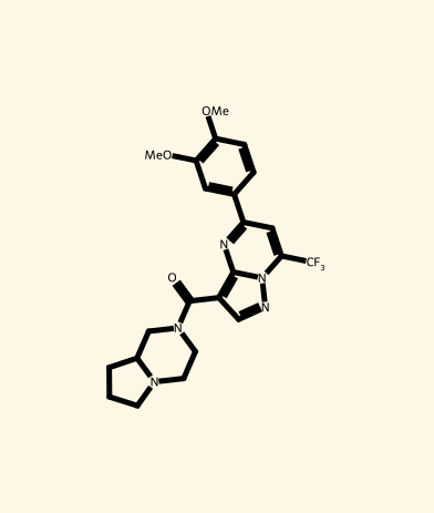 COc1ccc(-c2cc(C(F)(F)F)n3ncc(C(=O)N4CCN5CCCC5C4)c3n2)cc1OC